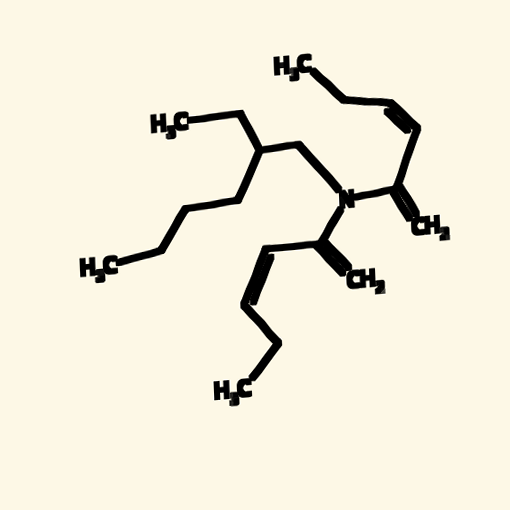 C=C(/C=C\CC)N(CC(CC)CCCC)C(=C)/C=C\CC